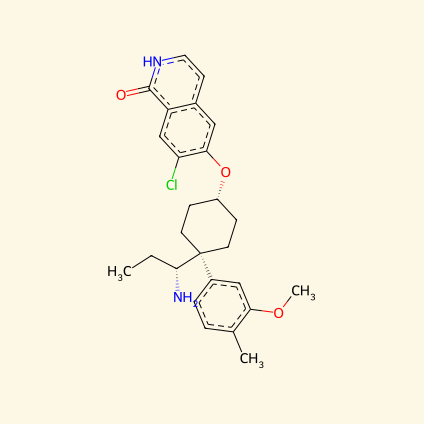 CC[C@@H](N)[C@]1(c2ccc(C)c(OC)c2)CC[C@@H](Oc2cc3cc[nH]c(=O)c3cc2Cl)CC1